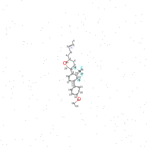 C/C=C/CCC1CCC(c2ccc(-c3ccc(OCC)cc3)c(F)c2C(F)(F)F)CO1